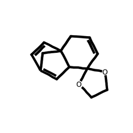 C1=CC2(OCCO2)C2C=C3C=CC2(C1)C3